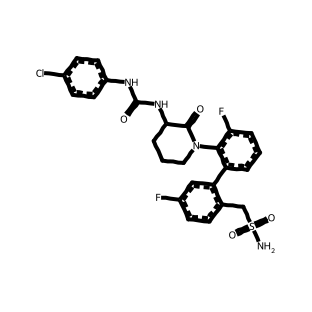 NS(=O)(=O)Cc1ccc(F)cc1-c1cccc(F)c1N1CCCC(NC(=O)Nc2ccc(Cl)cc2)C1=O